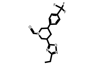 CCc1noc(C2CC(c3ccc(C(F)(F)F)cc3)CN(C=O)C2)n1